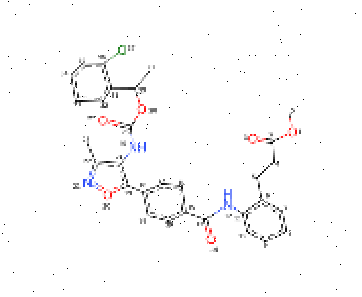 COC(=O)CCc1ccccc1NC(=O)c1ccc(-c2onc(C)c2NC(=O)OC(C)c2ccccc2Cl)cc1